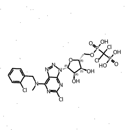 CN(Cc1ccccc1Cl)c1nc(Cl)nc2c1nnn2[C@@H]1O[C@H](COP(=O)(O)C(Cl)(Cl)P(=O)(O)O)[C@@H](O)[C@H]1O